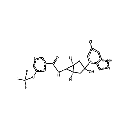 O=C(NC1[C@H]2CC(O)(c3cc(Cl)cc4[nH]ncc34)C[C@@H]12)c1cncc(OC(F)(F)F)c1